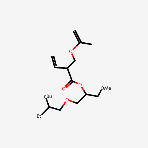 C=CC(COC(=C)C)C(=O)OC(COC)COCC(CC)CCCC